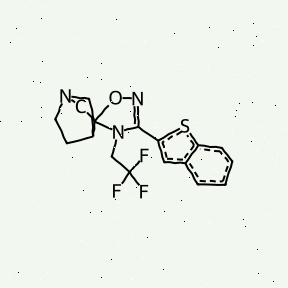 FC(F)(F)CN1C(c2cc3ccccc3s2)=NOC12CN1CCC2CC1